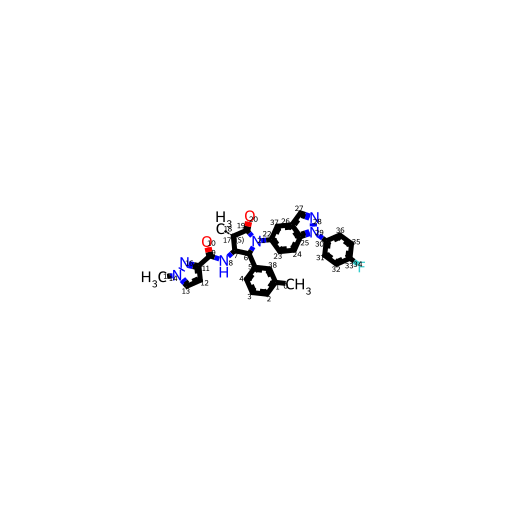 Cc1cccc(C2C(NC(=O)c3ccn(C)n3)[C@H](C)C(=O)N2c2ccc3c(cnn3-c3ccc(F)cc3)c2)c1